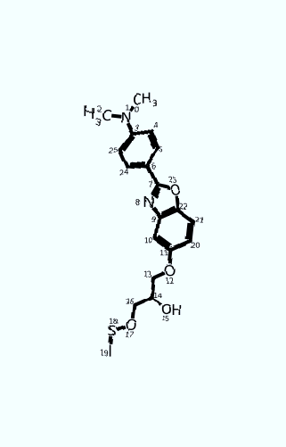 CN(C)c1ccc(-c2nc3cc(OC[C@@H](O)COSI)ccc3o2)cc1